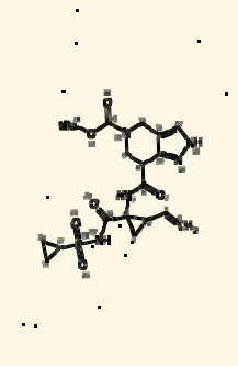 C=CC1CC1(NC(=O)C1CN(C(=O)OC(C)(C)C)Cc2c[nH]nc21)C(=O)NS(=O)(=O)C1CC1